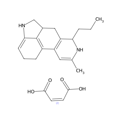 CCCC1NC(C)=CC2=C1CC1CNC3=CCCC2=C31.O=C(O)/C=C\C(=O)O